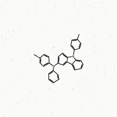 Cc1ccc(N(c2ccccc2)c2ccc3c(c2)c2ccccc2n3-c2ccc(C)cc2)cc1